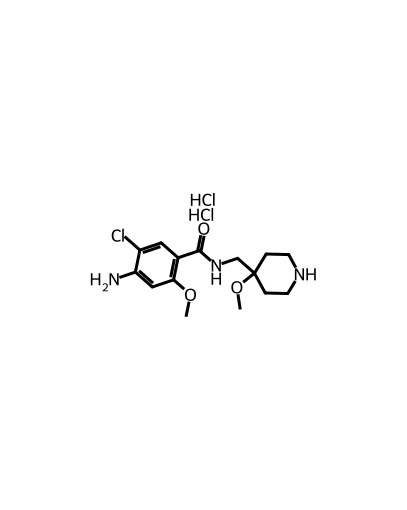 COc1cc(N)c(Cl)cc1C(=O)NCC1(OC)CCNCC1.Cl.Cl